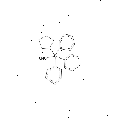 O=CP(c1ccccc1)(c1ccccc1)(c1ccccc1)C1CCCC1